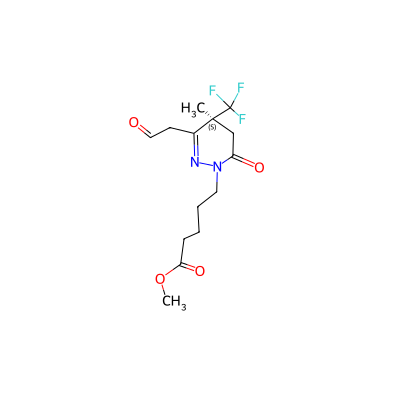 COC(=O)CCCCN1N=C(CC=O)[C@@](C)(C(F)(F)F)CC1=O